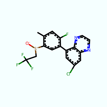 Cc1cc(F)c(-c2cc(Cl)cc3nccnc23)cc1[S+]([O-])CC(F)(F)F